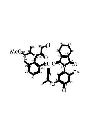 C#CC(C)Oc1cc(N2C(=O)C3=C(CCCC3)C2=O)c(F)cc1Cl.CCc1cccc(C)c1N(C(=O)CCl)C(C)COC